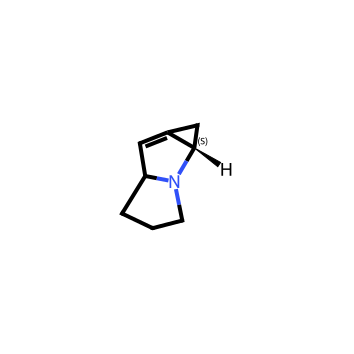 C1=C2C[C@@H]2N2CCCC12